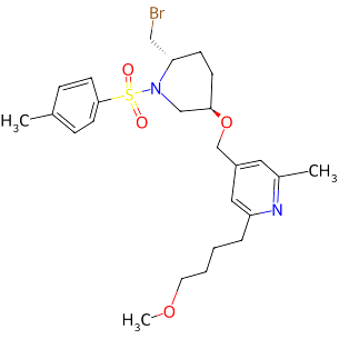 COCCCCc1cc(CO[C@@H]2CC[C@@H](CBr)N(S(=O)(=O)c3ccc(C)cc3)C2)cc(C)n1